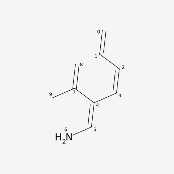 C=C/C=C\C(=C\N)C(=C)C